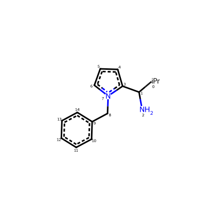 CC(C)C(N)c1cccn1Cc1ccccc1